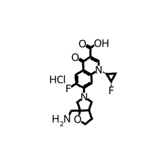 Cl.NCC12CN(c3cc4c(cc3F)c(=O)c(C(=O)O)cn4[C@@H]3C[C@@H]3F)CC1CCO2